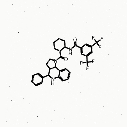 O=C(NC1CCCCC1C(=O)N1CCC2C(c3ccccc3)Nc3ccccc3C21)c1cc(C(F)(F)F)cc(C(F)(F)F)c1